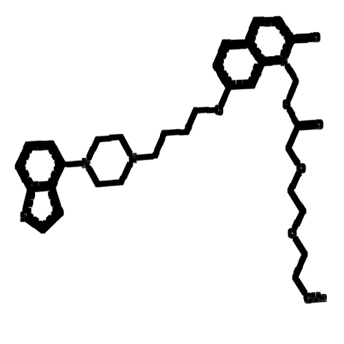 COCCOCCOCC(=O)OCn1c(=O)ccc2ccc(OCCCCN3CCN(c4cccc5sccc45)CC3)cc21